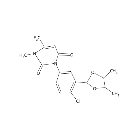 CC1OC(c2cc(-n3c(=O)cc(C(F)(F)F)n(C)c3=O)ccc2Cl)OC1C